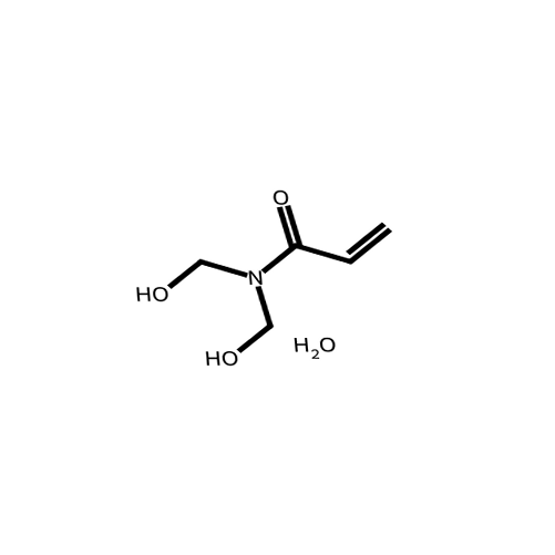 C=CC(=O)N(CO)CO.O